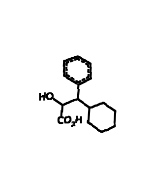 O=C(O)C(O)C(c1ccccc1)C1CCCCC1